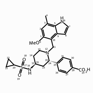 COc1cc(C)c2[nH]ccc2c1CN1CC[C@H](NS(=O)(=O)C2CC2)C[C@H]1c1ccc(C(=O)O)cc1